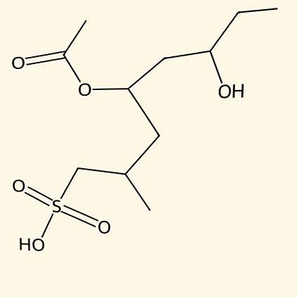 CCC(O)CC(CC(C)CS(=O)(=O)O)OC(C)=O